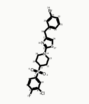 O=S(=O)(c1ccc(F)c(Cl)c1)C1CCN(c2nc(Cc3cccc(Br)c3)cs2)CC1